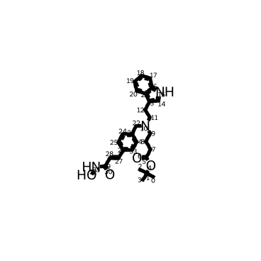 CC(C)(C)OC(=O)CCCN(CCc1c[nH]c2ccccc12)Cc1ccc(/C=C/C(=O)NO)cc1